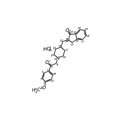 COc1ccc(C(=O)CN2CCC(CN3Cc4ccccc4C3=O)CC2)cc1.Cl